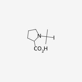 CC(C)(I)N1CCCC1C(=O)O